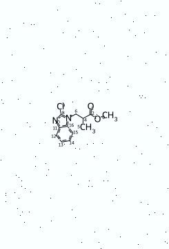 COC(=O)C(C)Cn1c(Cl)nc2ccccc21